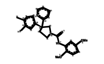 COc1ccc(OC)c(NC(=S)N2CC[C@](c3ccc(C)c(F)c3)(c3ccccn3)C2)c1